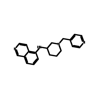 c1cc(NC2CCCN(Cc3ccncc3)C2)c2ccncc2c1